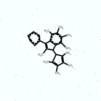 CC1=C(C)C(C)=C(C)[C]1C1C(C)=C(c2ccccc2)c2c(C)c(C)c(C)c(C)c21